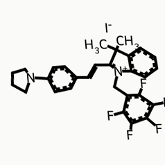 CC1(C)C(/C=C/c2ccc(N3CCCC3)cc2)=[N+](Cc2c(F)c(F)c(F)c(F)c2F)c2ccccc21.[I-]